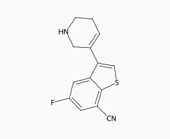 N#Cc1cc(F)cc2c(C3=CCCNC3)csc12